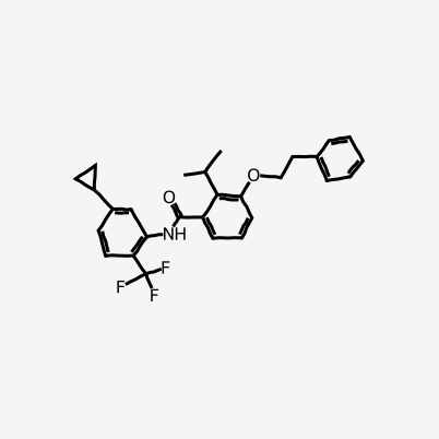 CC(C)c1c(OCCc2ccccc2)cccc1C(=O)Nc1cc(C2CC2)ccc1C(F)(F)F